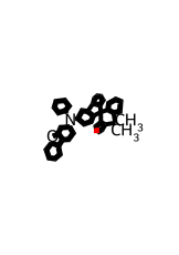 CC1(C)c2ccccc2C2(c3ccccc3-c3cc(N(c4ccccc4)c4ccc5c(c4)oc4ccccc45)ccc32)c2ccccc21